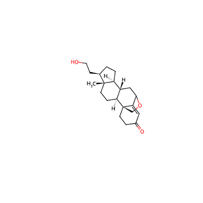 C[C@]12CC[C@H]3[C@@H](CC4OC[C@@]35CCC(=O)C=C45)[C@@H]1CC[C@@H]2CCO